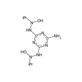 CC(C)N(O)Nc1nc(N)nc(NN(O)C(C)C)n1